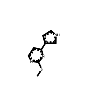 CSc1nccc(-c2cc[nH]c2)n1